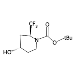 CC(C)(C)OC(=O)N1CC[C@H](O)C[C@H]1C(F)(F)F